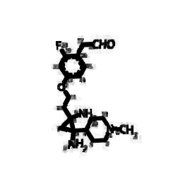 CN1CCC(C2(N)CC2(N)CCOc2ccc(CC=O)c(F)c2)CC1